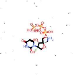 NC[C@]1(COP(=O)(O)OP(=O)(O)OP(=O)(O)O)OC[C@@](F)(N2C=CC(=O)NC2O)[C@@H]1O